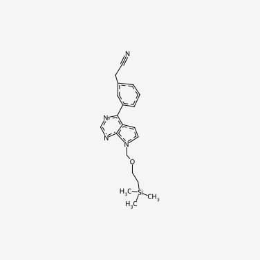 C[Si](C)(C)CCOCn1ccc2c(-c3cccc(CC#N)c3)ncnc21